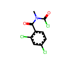 CN(C(=O)Cl)C(=O)c1ccc(Cl)cc1Cl